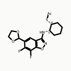 CC(=O)S[C@@H]1CCCC[C@@H]1Nc1noc2c(F)c(F)c(C3OCCO3)cc12